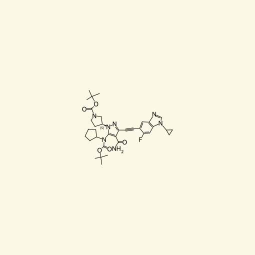 CC(C)(C)OC(=O)N1CC[C@H](n2nc(C#Cc3cc4ncn(C5CC5)c4cc3F)c(C(N)=O)c2N(C(=O)OC(C)(C)C)C2CCCC2)C1